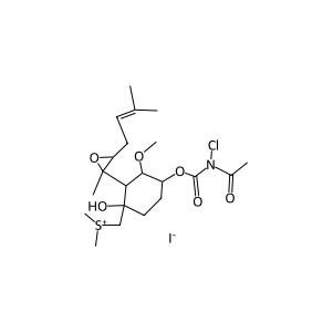 COC1C(OC(=O)N(Cl)C(C)=O)CCC(O)(C[S+](C)C)C1C1(C)OC1CC=C(C)C.[I-]